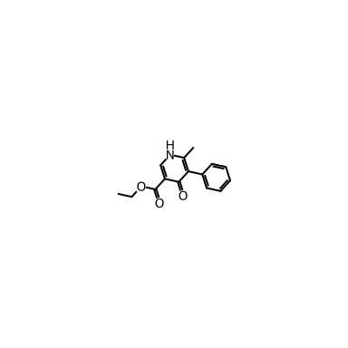 CCOC(=O)c1c[nH]c(C)c(-c2ccccc2)c1=O